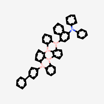 c1ccc(-c2ccc(B3c4ccccc4B4c5cccc6c5B(c5ccccc5B6c5ccc(N(c6ccccc6)c6ccccc6)c6ccccc56)c5cccc3c54)cc2)cc1